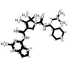 Cc1nc(NC(=N)C2=C(N)C(C)(C)N(C(=O)N[C@H](CN(C)C)C3CCOCC3)C2)c2sccc2n1